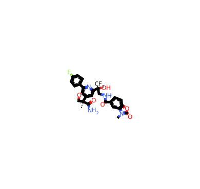 Cn1c(=O)oc2ccc(C(=O)NC[C@](O)(c3cc4c(c(-c5ccc(F)cc5)n3)OC[C@]4(C)C(N)=O)C(F)(F)F)cc21